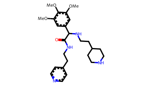 COc1cc(C(NCCC2CCNCC2)C(=O)NCCc2ccncc2)cc(OC)c1OC